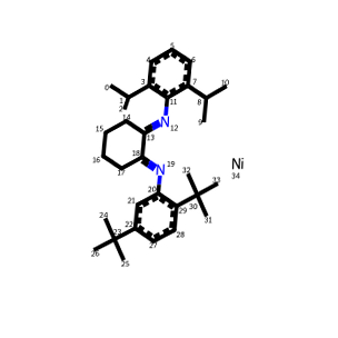 CC(C)c1cccc(C(C)C)c1N=C1CCCCC1=Nc1cc(C(C)(C)C)ccc1C(C)(C)C.[Ni]